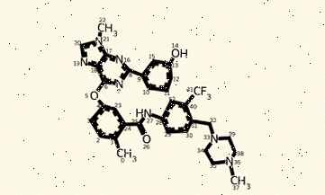 Cc1ccc(Oc2nc(-c3cccc(O)c3)nc3c2ncn3C)cc1C(=O)Nc1ccc(CN2CCN(C)CC2)c(C(F)(F)F)c1